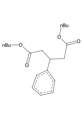 CCCCOC(=O)CC(CC(=O)OCCCC)c1ccccc1